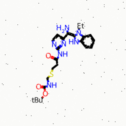 CCN1/C(=C(\N)c2ccnc(NC(=O)CCSCNC(=O)OC(C)(C)C)n2)Nc2ccccc21